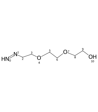 N=NCCOCCOCCO